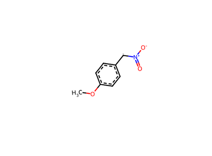 COc1ccc([CH][N+](=O)[O-])cc1